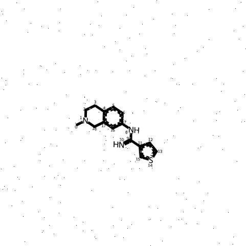 CN1CCc2ccc(NC(=N)c3ccsc3)cc2C1